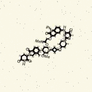 CNC(=O)COc1cc2cc(Nc3nc(N4CCC(OC5CC(N6CC[C@H](c7ccc8c(c7F)CN(C7CCC(=O)NC7=O)C8=O)[C@H](OC)C6)C5)CC4)ncc3Cl)ccc2n(C(C)C)c1=O